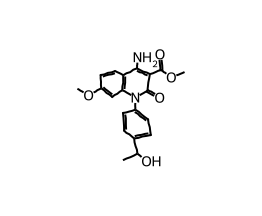 COC(=O)c1c(N)c2ccc(OC)cc2n(-c2ccc(C(C)O)cc2)c1=O